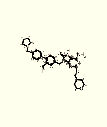 Nc1nc(OCC2CCOCC2)nc2c1[nH]c(=O)n2Cc1ccc(-c2ccc(CN3CCCC3)cc2)c(CF)c1